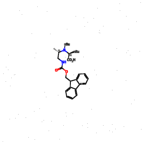 CCCC[C@@H](C(=O)O)N(CCCC)[C@@H](C)CNC(=O)OCC1c2ccccc2-c2ccccc21